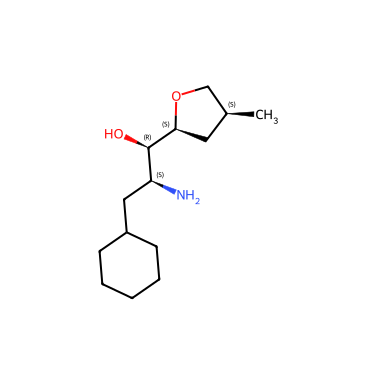 C[C@@H]1CO[C@H]([C@H](O)[C@@H](N)CC2CCCCC2)C1